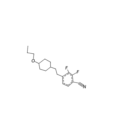 CCCOC1CCC(CCc2ccc(C#N)c(F)c2F)CC1